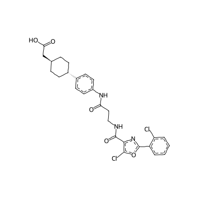 O=C(O)C[C@H]1CC[C@H](c2ccc(NC(=O)CCNC(=O)c3nc(-c4ccccc4Cl)oc3Cl)cc2)CC1